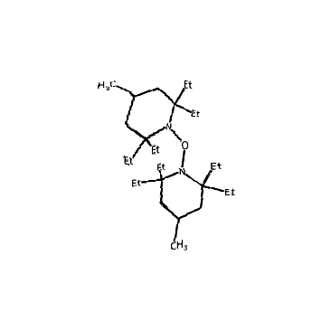 CCC1(CC)CC(C)CC(CC)(CC)N1ON1C(CC)(CC)CC(C)CC1(CC)CC